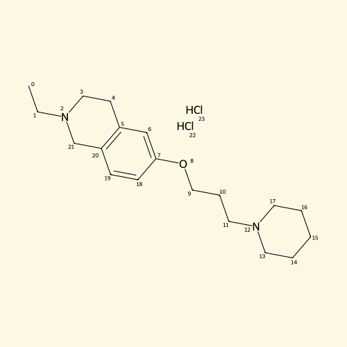 CCN1CCc2cc(OCCCN3CCCCC3)ccc2C1.Cl.Cl